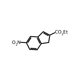 CCOC(=O)C1=Cc2cc([N+](=O)[O-])ccc2C1